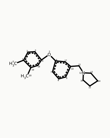 Cc1ccc(Oc2cccc(CN3CCCC3)c2)cc1C